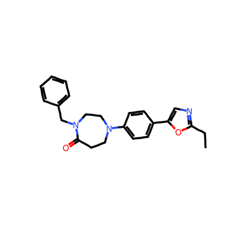 CCc1ncc(-c2ccc(N3CCC(=O)N(Cc4ccccc4)CC3)cc2)o1